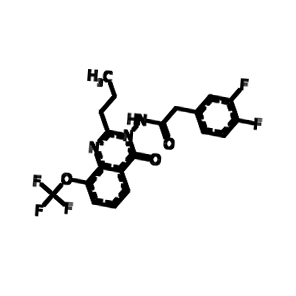 CCCc1nc2c(OC(F)(F)F)cccc2c(=O)n1NC(=O)Cc1ccc(F)c(F)c1